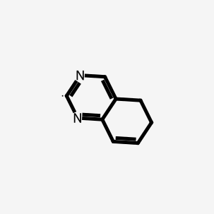 [c]1ncc2c(n1)C=CCC2